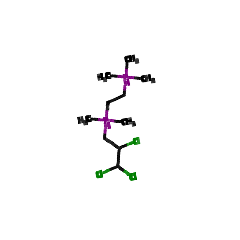 C[PH](C)(C)CC[PH](C)(C)CC(Cl)C(Cl)Cl